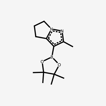 Cc1nn2c(c1B1OC(C)(C)C(C)(C)O1)CCC2